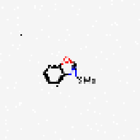 CS[n+]1coc2ccccc21